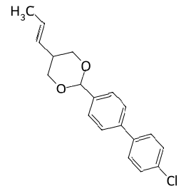 CC=CC1COC(c2ccc(-c3ccc(Cl)cc3)cc2)OC1